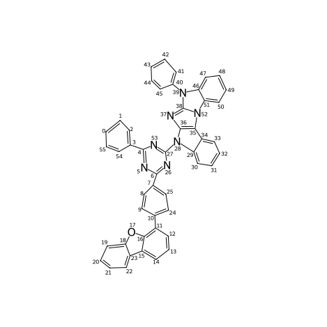 c1ccc(-c2nc(-c3ccc(-c4cccc5c4oc4ccccc45)cc3)nc(-n3c4ccccc4c4c3nc3n(-c5ccccc5)c5ccccc5n43)n2)cc1